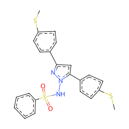 CSc1ccc(-c2cc(-c3ccc(SC)cc3)n(NS(=O)(=O)c3ccccc3)n2)cc1